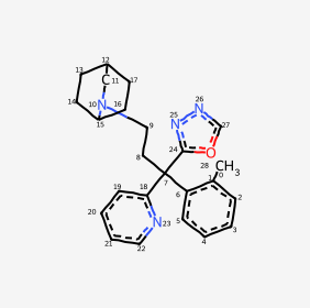 Cc1ccccc1C(CCN1CC2CCC1CC2)(c1ccccn1)c1nnco1